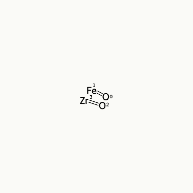 [O]=[Fe].[O]=[Zr]